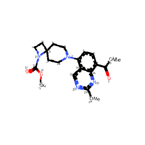 COC(=O)c1ccc(N2CCC3(CC2)CCN3C(=O)OC(C)(C)C)c2cnc(OC)nc12